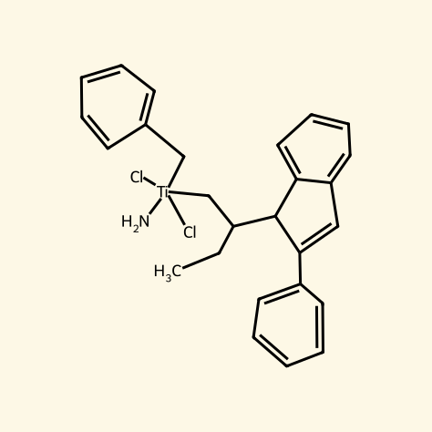 CCC([CH2][Ti]([NH2])([Cl])([Cl])[CH2]c1ccccc1)C1C(c2ccccc2)=Cc2ccccc21